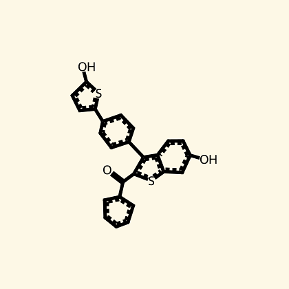 O=C(c1ccccc1)c1sc2cc(O)ccc2c1-c1ccc(-c2ccc(O)s2)cc1